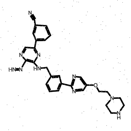 N#Cc1cccc(-c2cnc(N=N)c(NCc3cccc(-c4ncc(OCCN5CCNCC5)cn4)c3)n2)c1